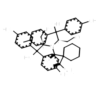 Cc1ccc(C(O)(c2ccc(C)cc2)[C@@H](CC(C)C)N(C(=O)C2(C(N)=O)CCCCC2)[C@H](CC(C)C)C(O)(c2ccc(C)cc2)c2ccc(C)cc2)cc1